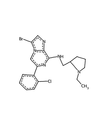 CCN1CCCC1CNc1nc(-c2ccccc2Cl)cn2c(Br)cnc12